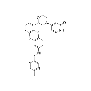 Cc1cnc(CNc2ccc3c(c2)Sc2cccc(C4CN(c5cc[nH]c(=O)c5)CCO4)c2S3)cn1